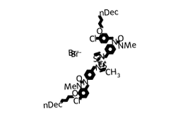 CCCCCCCCCCCCCCOc1cc(CN(C(=O)NC)c2ccc(Cn3ccs[c+]3-[c+]3sc(C)cn3Cc3ccc(N(Cc4ccc(Cl)c(OCCCCCCCCCCCCCC)c4)C(=O)NC)cc3)cc2)ccc1Cl.[Br-].[Br-]